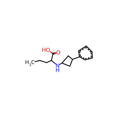 CCCC(NC1CC(c2ccccc2)C1)C(=O)O